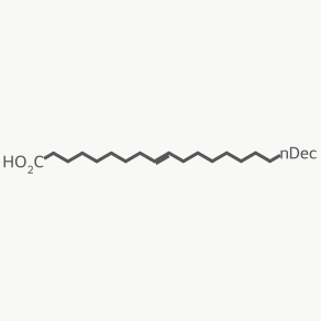 CCCCCCCCCCCCCCCCCC=CCCCCCCCC(=O)O